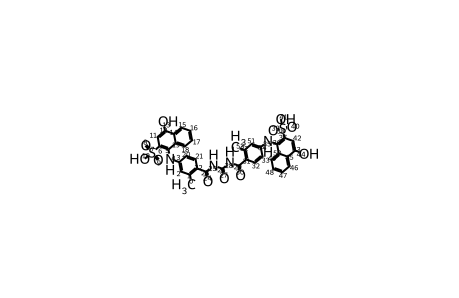 Cc1cc(Nc2c(S(=O)(=O)O)cc(O)c3ccccc23)ccc1C(=O)NC(=O)NC(=O)c1ccc(Nc2c(S(=O)(=O)O)cc(O)c3ccccc23)cc1C